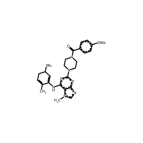 COc1ccc(C(=O)N2CCN(c3nc(NC4=CC(C(C)(C)C)CC=C4C)c4c(ncn4C)n3)CC2)cc1